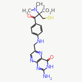 CN(C)[C@@](CS)(C(=O)O)C(=O)c1ccc(NCc2cnc3nc(N)[nH]c(=O)c3n2)cc1